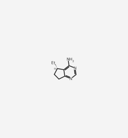 CC[C@H]1CCc2ncnc(N)c21